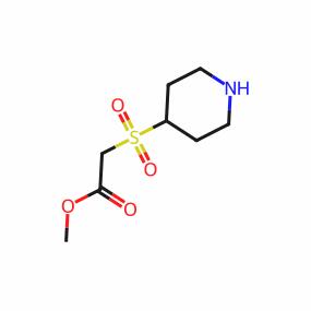 COC(=O)CS(=O)(=O)C1CCNCC1